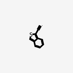 [C]#Cc1scc2ccccc12